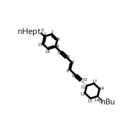 CCCCCCCc1ccc(C#C/C=C/C#C[C@H]2CC[C@H](CCCC)CC2)cc1